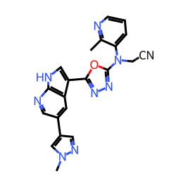 Cc1ncccc1N(CC#N)c1nnc(-c2c[nH]c3ncc(-c4cnn(C)c4)cc23)o1